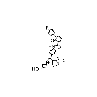 Nc1ncnc2c1c(-c1ccc(NC(=O)c3cccn(-c4ccc(F)cc4)c3=O)cc1)cn2[C@H]1C[C@@H](CO)C1